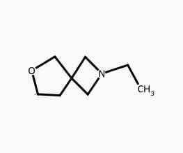 CCN1CC2(C[CH]OC2)C1